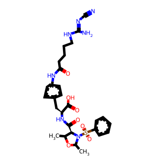 CC1OC(C)N(S(=O)(=O)c2ccccc2)[C@@H]1C(=O)N[C@@H](Cc1ccc(NC(=O)CCCCN/C(N)=N/C#N)cc1)C(=O)O